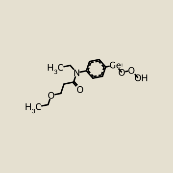 CCOCCC(=O)N(CC)c1cc[c]([Ge][O]OO)cc1